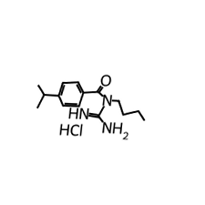 CCCCN(C(=N)N)C(=O)c1ccc(C(C)C)cc1.Cl